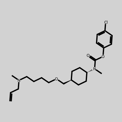 C=CCN(C)CCCCOC[C@H]1CC[C@H](N(C)C(=O)Oc2ccc(Cl)cc2)CC1